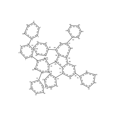 c1ccc(-c2cccc(-c3nc(-c4ccccc4)nc(-n4c5c(-c6ccccc6)cc(-c6ccccc6)cc5c5cc(-c6ccccc6)cc(-c6ccccc6)c54)n3)c2)cc1